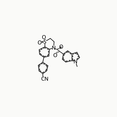 Cn1ccc2cc(S(=O)(=O)N3CCS(=O)(=O)c4ccc(-c5ccc(C#N)cc5)cc43)ccc21